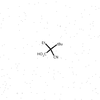 CCC(C#N)(C(=O)O)C(C)(C)C